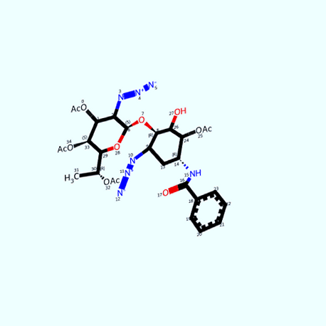 CC(=O)OC1C(N=[N+]=[N-])[C@@H](O[C@@H]2C(N=[N+]=[N-])C[C@@H](NC(=O)c3ccccc3)C(OC(C)=O)C2O)OC([C@@H](C)OC(C)=O)[C@H]1OC(C)=O